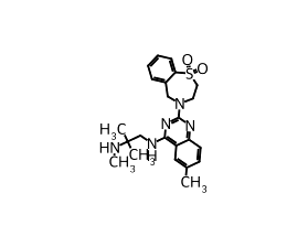 CNC(C)(C)CNc1nc(N2CCS(=O)(=O)c3ccccc3C2)nc2ccc(C)cc12